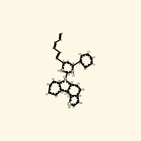 C=C/C=C\C=C\c1cc(-c2ccccc2)nc(-n2c3ccccc3c3c4occc4ccc32)n1